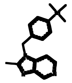 Cc1nc2cnccc2n1Cc1cc[c]([Sn]([CH3])([CH3])[CH3])cc1